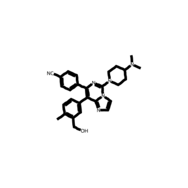 Cc1ccc(-c2c(-c3ccc(C#N)cc3)nc(N3CCC(N(C)C)CC3)n3ccnc23)cc1CO